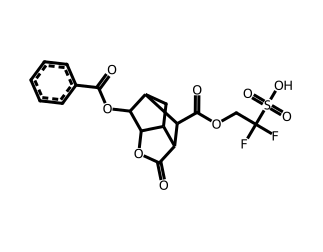 O=C(OC1C2CC3C1OC(=O)C3C2C(=O)OCC(F)(F)S(=O)(=O)O)c1ccccc1